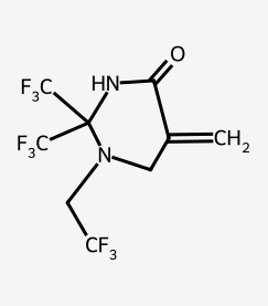 C=C1CN(CC(F)(F)F)C(C(F)(F)F)(C(F)(F)F)NC1=O